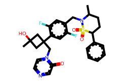 CC1CCC(c2ccccc2)S(=O)(=O)N1Cc1cc(F)c(C2(Cn3ccncc3=O)CC(C)(O)C2)cc1F